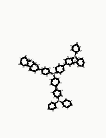 c1ccc(N(c2ccccc2)c2ccc(-c3ccc(N(c4ccc(-c5ccc6c(c5)oc5ccccc56)cc4)c4ccc(-c5ccc6c(c5)c5ccccc5n6-c5ccccc5)cc4)cc3)cc2)cc1